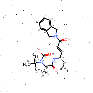 CC[C@@H](/C=C/C(=O)N1Cc2ccccc2C1)NC(=O)[C@H](C)N(C(=O)O)C(C)(C)C